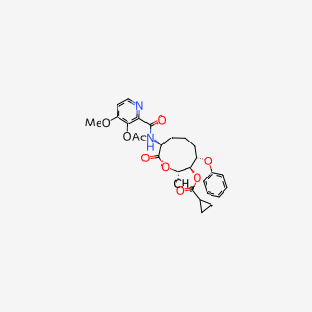 COc1ccnc(C(=O)N[C@H]2CCC[C@H](Oc3ccccc3)[C@@H](OC(=O)C3CC3)[C@H](C)OC2=O)c1OC(C)=O